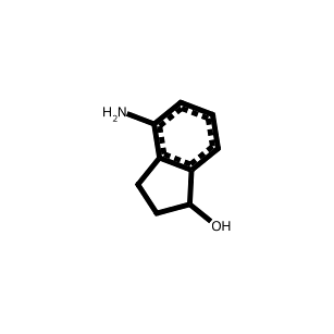 Nc1cccc2c1CCC2O